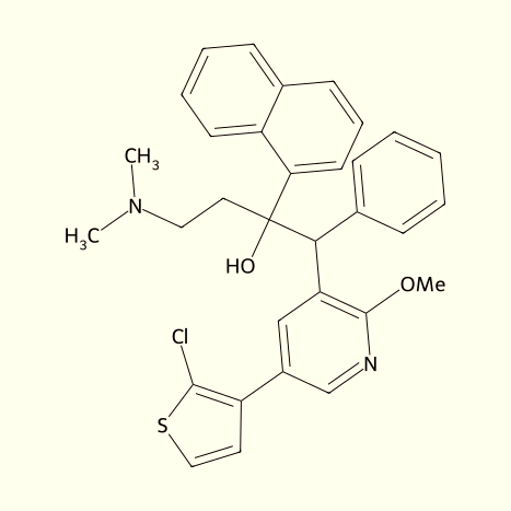 COc1ncc(-c2ccsc2Cl)cc1C(c1ccccc1)C(O)(CCN(C)C)c1cccc2ccccc12